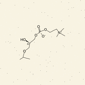 CC(C)OC[C@@H](O)COP(=O)([O-])OCC[N+](C)(C)C